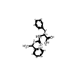 CC(OC(=O)N[C@@H](Cc1ccccc1)C(=O)O)c1ccccn1